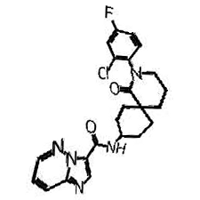 O=C(NC1CCC2(CCCN(c3ccc(F)cc3Cl)C2=O)CC1)c1cnc2cccnn12